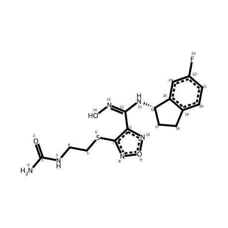 NC(=O)NCCSc1nonc1/C(=N\O)N[C@H]1CCc2ccc(F)cc21